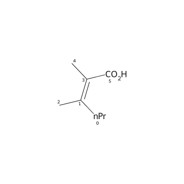 CCC/C(C)=C(/C)C(=O)O